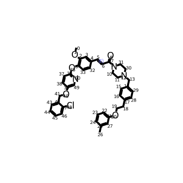 COc1cc(/C=C/C(=O)N2CCN(Cc3ccc(CCOc4cccc(C)c4)cc3)CC2)ccc1Oc1ccc(OCc2ccccc2Cl)cn1